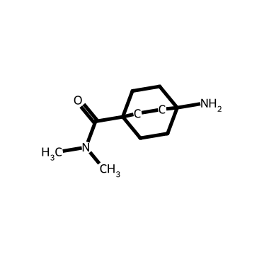 CN(C)C(=O)C12CCC(N)(CC1)CC2